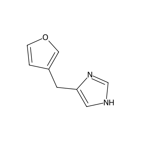 c1nc(Cc2ccoc2)c[nH]1